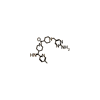 Cc1ccc(C(=N)C2CCN(C(=O)C3CCN(Cc4cnc(N)nc4)CC3)CC2)nc1